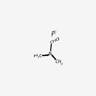 CN(C)C=O.[P]